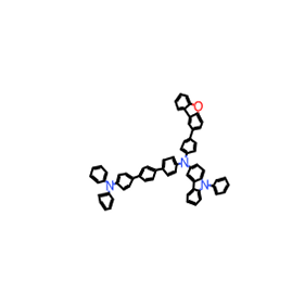 c1ccc(N(c2ccccc2)c2ccc(-c3ccc(-c4ccc(N(c5ccc(-c6ccc7oc8ccccc8c7c6)cc5)c5ccc6c(c5)c5ccccc5n6-c5ccccc5)cc4)cc3)cc2)cc1